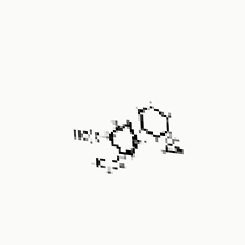 C1CCCCC1.C1CO1.O=C(O)c1ccccc1C(=O)O